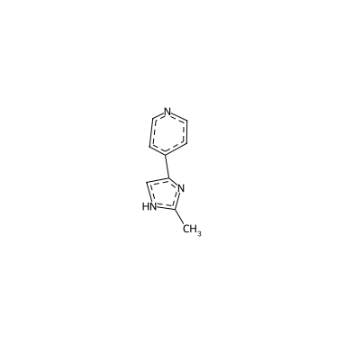 Cc1nc(-c2ccncc2)c[nH]1